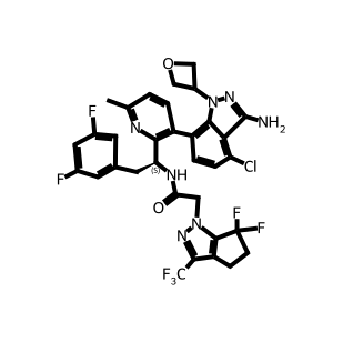 Cc1ccc(-c2ccc(Cl)c3c(N)nn(C4COC4)c23)c([C@H](Cc2cc(F)cc(F)c2)NC(=O)Cn2nc(C(F)(F)F)c3c2C(F)(F)CC3)n1